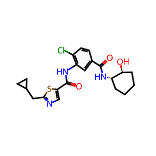 O=C(N[C@H]1CCCC[C@@H]1O)c1ccc(Cl)c(NC(=O)c2cnc(CC3CC3)s2)c1